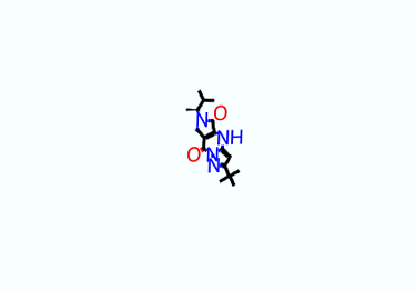 CC(C)[C@H](C)N1Cc2c([nH]c3cc(C(C)(C)C)nn3c2=O)C1=O